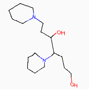 OCCCC(C(O)CCN1CCCCC1)N1CCCCC1